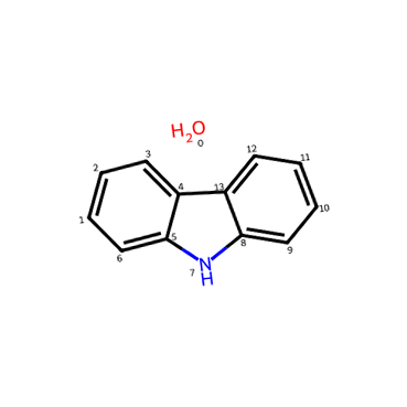 O.c1ccc2c(c1)[nH]c1ccccc12